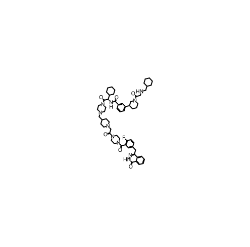 O=C(N[C@@H](C(=O)N1CCN(CC2CCN(CC(=O)N3CCN(C(=O)c4cc(Cc5n[nH]c(=O)c6ccccc56)ccc4F)CC3)CC2)CC1)C1CCCCC1)c1cccc(C2CCCN(C(=O)CNCC3CCCCC3)C2)c1